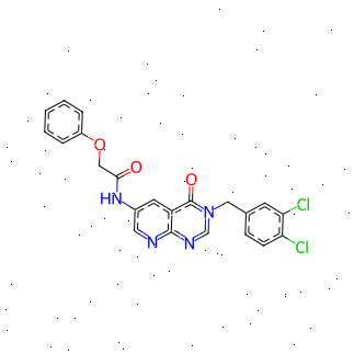 O=C(COc1ccccc1)Nc1cnc2ncn(Cc3ccc(Cl)c(Cl)c3)c(=O)c2c1